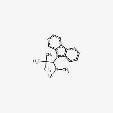 CN(C)C(n1c2ccccc2c2ccccc21)C(C)(C)C